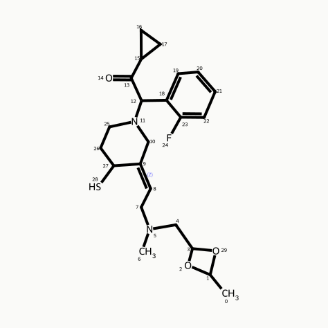 CC1OC(CN(C)C/C=C2/CN(C(C(=O)C3CC3)c3ccccc3F)CCC2S)O1